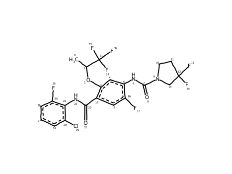 CC(Oc1cc(NC(=O)N2CCC(F)(F)C2)c(F)cc1C(=O)Nc1c(F)cccc1Cl)C(F)(F)F